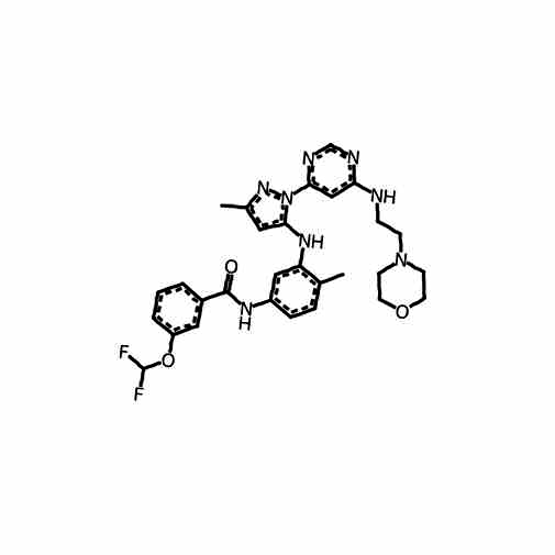 Cc1cc(Nc2cc(NC(=O)c3cccc(OC(F)F)c3)ccc2C)n(-c2cc(NCCN3CCOCC3)ncn2)n1